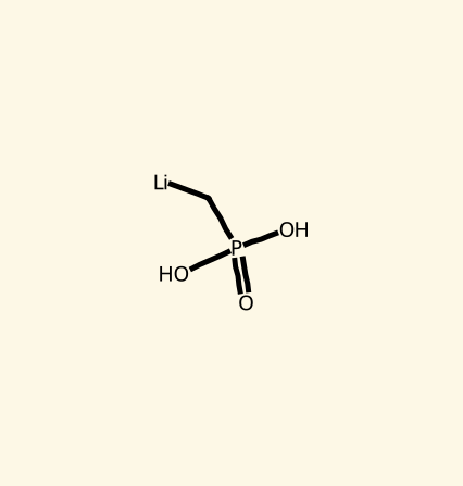 [Li][CH2]P(=O)(O)O